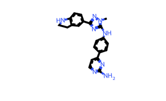 Cn1nc(-c2ccc3c(c2)CCN3)nc1Nc1ccc(-c2ccnc(N)n2)cc1